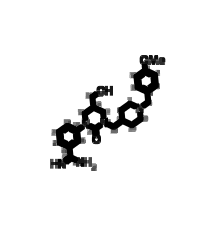 COc1ccc(CN2CCC(CN3CC(CO)CN(c4cccc(C(=N)N)c4)C3=O)CC2)cc1